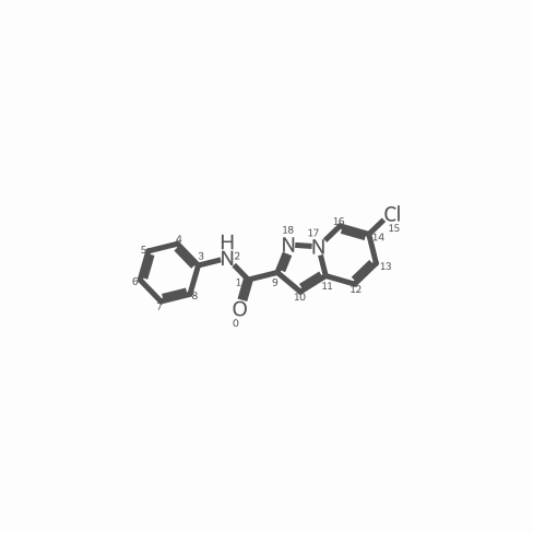 O=C(Nc1ccccc1)c1cc2ccc(Cl)cn2n1